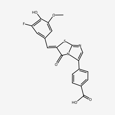 COc1cc(/C=c2\sc3ncc(-c4ccc(C(=O)O)cc4)n3c2=O)cc(F)c1O